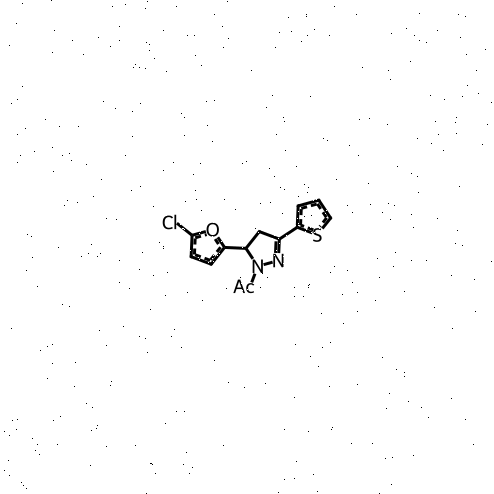 CC(=O)N1N=C(c2cccs2)CC1c1ccc(Cl)o1